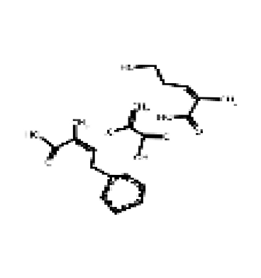 C=C(C)C(=O)O.CC(=CCCO)C(=O)O.CC(=CCc1ccccc1)C(=O)O